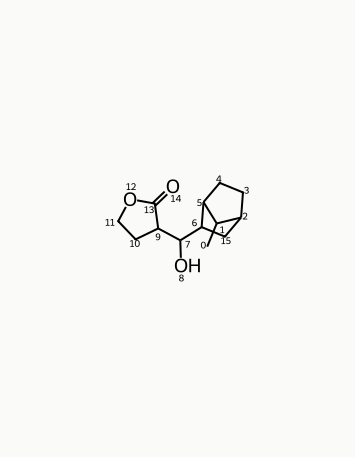 CC1C2CCC1C(C(O)C1CCOC1=O)C2